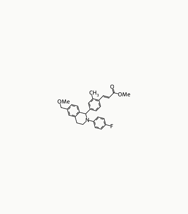 COCc1ccc2c(c1)CCN(c1ccc(F)cc1)C2c1ccc(C=CC(=O)OC)c(C)c1